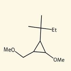 CCC(C)(C)C1C(COC)C1OC